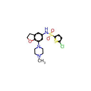 CN1CCN(c2cc(NS(=O)(=O)c3ccc(Cl)s3)cc3c2OCC3)CC1